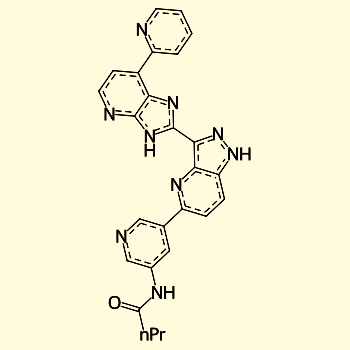 CCCC(=O)Nc1cncc(-c2ccc3[nH]nc(-c4nc5c(-c6ccccn6)ccnc5[nH]4)c3n2)c1